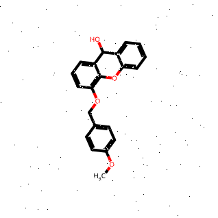 COc1ccc(COc2cccc3c2Oc2ccccc2C3O)cc1